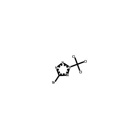 ClC(Cl)(Cl)n1nnc(Br)n1